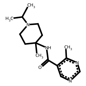 Cc1ncncc1C(=O)NC1(C)CCN(C(C)C)CC1